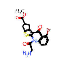 COC(=O)C1Cc2sc(NC(=O)CN)c(C(=O)c3ccccc3Br)c2C1